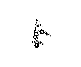 CCN(CC)CCCN(Cc1ccc(C(=O)Nc2ccccc2N)nc1)C(=O)Nc1ccc(OC)cc1